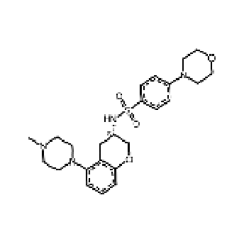 CN1CCN(c2cccc3c2C[C@H](NS(=O)(=O)c2ccc(N4CCOCC4)cc2)CO3)CC1